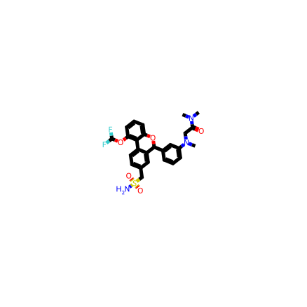 CN(C)C(=O)CN(C)c1cccc(C2Oc3cccc(OC(F)F)c3-c3ccc(CS(N)(=O)=O)cc32)c1